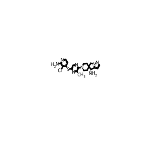 Cc1nc(Sc2ccnc(N)c2Cl)cnc1N1CCC2(CC1)Cn1nccc1[C@@H]2N